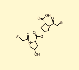 O=C(O)[C@H]1C[C@@H](OC(=O)[C@H]2C[C@@H](O)CN2C(=O)CBr)CN1C(=O)CBr